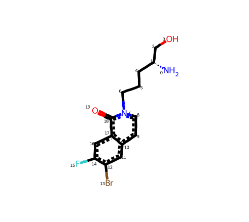 N[C@@H](CO)CCCn1ccc2cc(Br)c(F)cc2c1=O